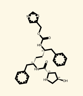 O=C(N[C@@H](CC[C@@H](Cc1ccccc1)NC(=O)[C@@H]1C[C@@H](O)CN1)Cc1ccccc1)OCc1cncs1